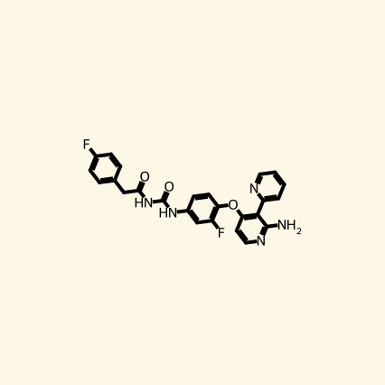 Nc1nccc(Oc2ccc(NC(=O)NC(=O)Cc3ccc(F)cc3)cc2F)c1-c1ccccn1